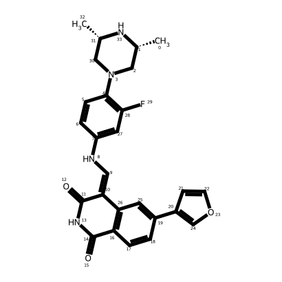 C[C@@H]1CN(c2ccc(N/C=C3\C(=O)NC(=O)c4ccc(-c5ccoc5)cc43)cc2F)C[C@H](C)N1